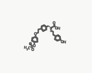 CS(=O)(=O)Oc1ccc(OCCc2ccc(C[C@@H](SCCc3ccc(O)cc3)C(=O)O)cc2)cc1